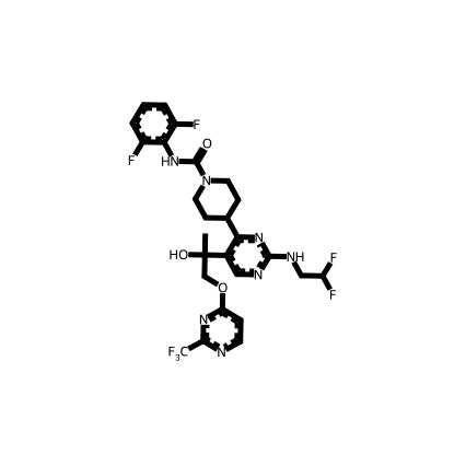 CC(O)(COc1ccnc(C(F)(F)F)n1)c1cnc(NCC(F)F)nc1C1CCN(C(=O)Nc2c(F)cccc2F)CC1